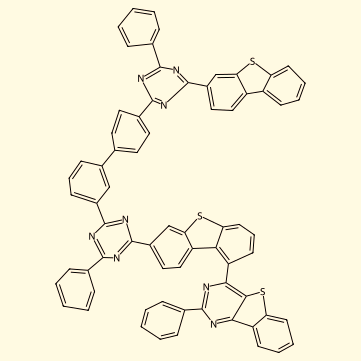 c1ccc(-c2nc(-c3ccc(-c4cccc(-c5nc(-c6ccccc6)nc(-c6ccc7c(c6)sc6cccc(-c8nc(-c9ccccc9)nc9c8sc8ccccc89)c67)n5)c4)cc3)nc(-c3ccc4c(c3)sc3ccccc34)n2)cc1